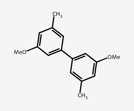 COc1cc(C)cc(-c2cc(C)cc(OC)c2)c1